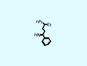 CCCC(CC)CCC(=N)c1ccccc1